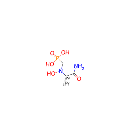 CC(C)[C@@H](C(N)=O)N(O)CP(=O)(O)O